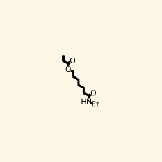 C=CC(=O)OCCCCCCC(=O)NCC